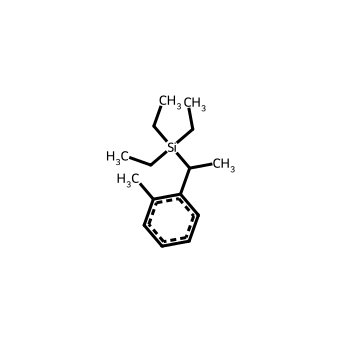 CC[Si](CC)(CC)C(C)c1ccccc1C